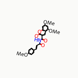 COc1ccc(C=CC(=O)NC(=O)c2cc3c(OC)cc(OC)cc3oc2=O)cc1